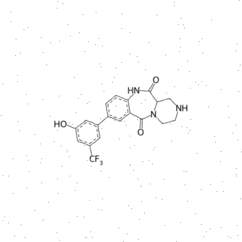 O=C1Nc2ccc(-c3cc(O)cc(C(F)(F)F)c3)cc2C(=O)N2CCNCC12